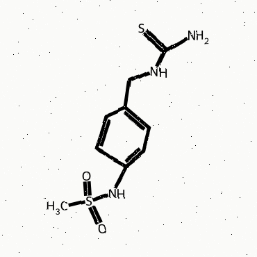 CS(=O)(=O)Nc1ccc(CNC(N)=S)cc1